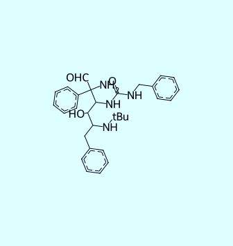 CC(C)(C)NC(Cc1ccccc1)C(O)C(NC(=O)NCc1ccccc1)C(N)(C=O)c1ccccc1